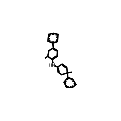 CC1CC(c2ccccc2)=CC=C1NC1=CCC(C)(c2ccccc2)C=C1